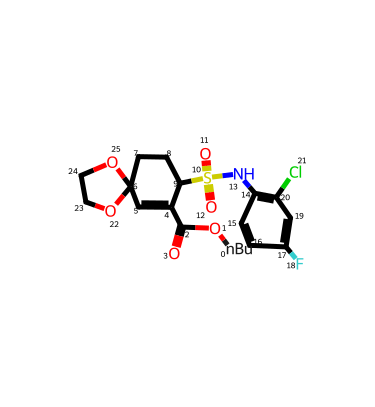 CCCCOC(=O)C1=CC2(CCC1S(=O)(=O)Nc1ccc(F)cc1Cl)OCCO2